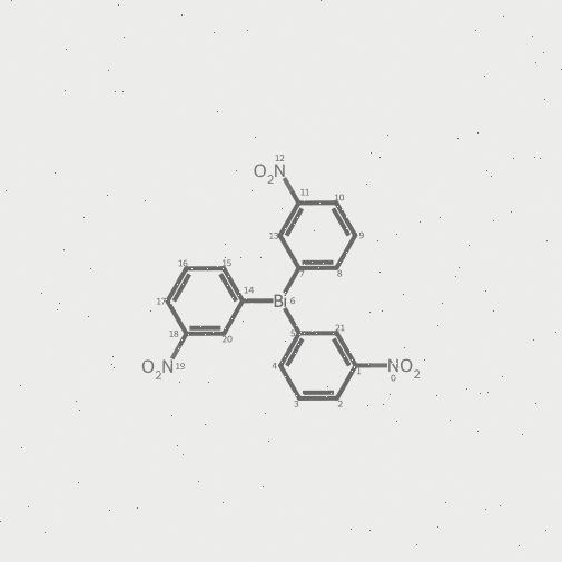 O=[N+]([O-])c1ccc[c]([Bi]([c]2cccc([N+](=O)[O-])c2)[c]2cccc([N+](=O)[O-])c2)c1